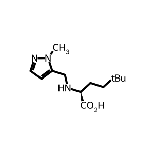 Cn1nccc1CN[C@@H](CCC(C)(C)C)C(=O)O